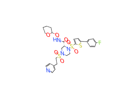 O=C(NOC1CCCCO1)[C@H]1CN(S(=O)(=O)CCc2ccncc2)CCN1S(=O)(=O)c1ccc(-c2ccc(F)cc2)s1